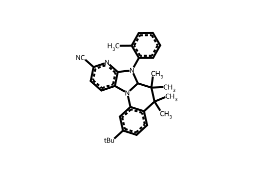 Cc1ccccc1N1c2nc(C#N)ccc2N2c3cc(C(C)(C)C)ccc3C(C)(C)C(C)(C)C21